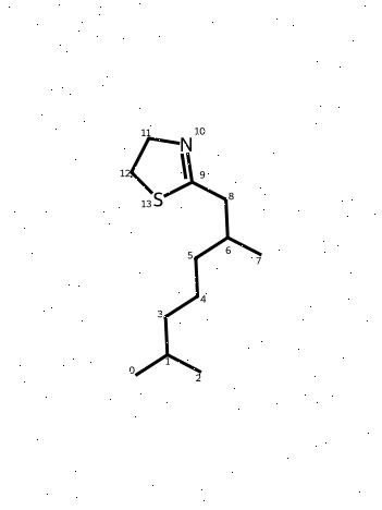 CC(C)CCCC(C)CC1=NC[CH]S1